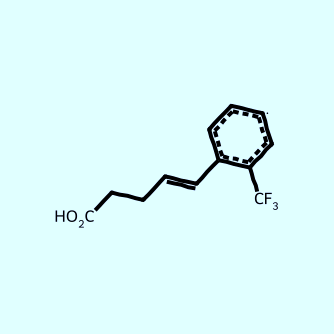 O=C(O)CCC=Cc1cc[c]cc1C(F)(F)F